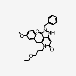 CCOCCCn1c(Cc2cccc(OC)c2)c2c(=O)n(Cc3ccccc3)[nH]c2cc1=O